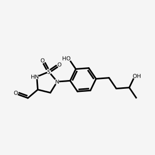 CC(O)CCc1ccc(N2CC(C=O)NS2(=O)=O)c(O)c1